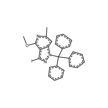 COc1nc(C)cc2c1c(I)nn2C(c1ccccc1)(c1ccccc1)c1ccccc1